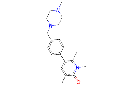 Cc1cc(-c2ccc(CN3CCN(C)CC3)cc2)c(C)n(C)c1=O